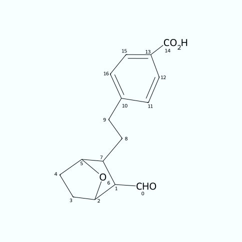 O=CC1C2CCC(O2)C1CCc1ccc(C(=O)O)cc1